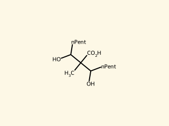 CCCCCC(O)C(C)(C(=O)O)C(O)CCCCC